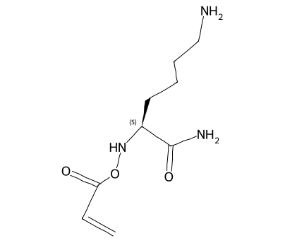 C=CC(=O)ON[C@@H](CCCCN)C(N)=O